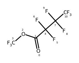 O=C(OC(F)(F)F)C(F)(F)C(F)(F)C(F)(F)F